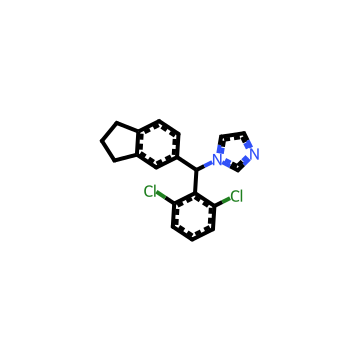 Clc1cccc(Cl)c1C(c1ccc2c(c1)CCC2)n1ccnc1